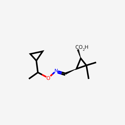 CC(ON=C[C@H]1[C@@H](C(=O)O)C1(C)C)C1CC1